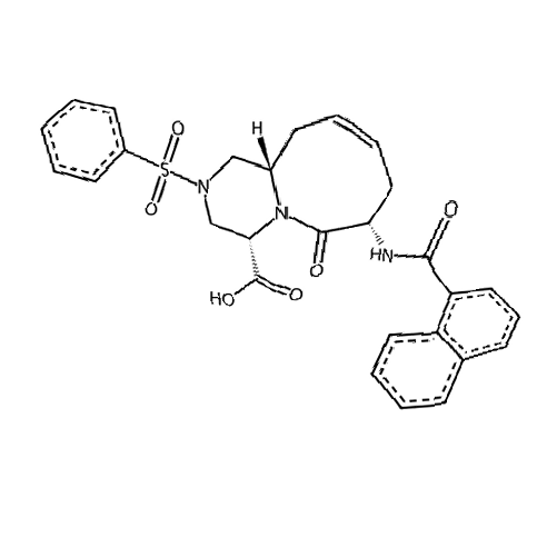 O=C(N[C@H]1C/C=C\C[C@H]2CN(S(=O)(=O)c3ccccc3)C[C@@H](C(=O)O)N2C1=O)c1cccc2ccccc12